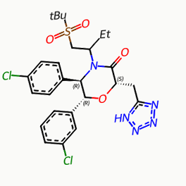 CCC(CS(=O)(=O)C(C)(C)C)N1C(=O)[C@H](Cc2nnn[nH]2)O[C@H](c2cccc(Cl)c2)[C@H]1c1ccc(Cl)cc1